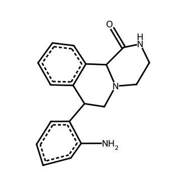 Nc1ccccc1C1CN2CCNC(=O)C2c2ccccc21